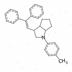 Cc1ccc(N2CC(C=C(c3ccccc3)c3ccccc3)C3CCCC32)cc1